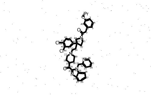 CC(C)Oc1cccc(CC(=O)N2CCC(CCN3CCC(C(=O)c4nc5ccccc5n4Cc4ccccn4)CC3)(c3ccc(Cl)c(Cl)c3)C2)c1